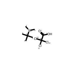 C[Si](C)C(C)(C)C.O=C(O)C(Cl)(Cl)Cl